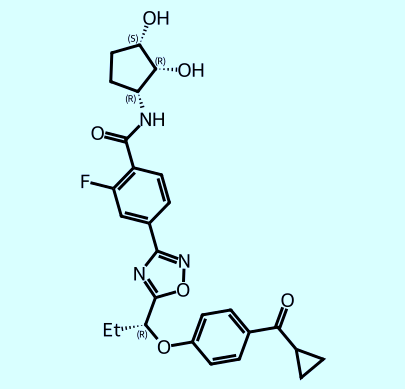 CC[C@@H](Oc1ccc(C(=O)C2CC2)cc1)c1nc(-c2ccc(C(=O)N[C@@H]3CC[C@H](O)[C@@H]3O)c(F)c2)no1